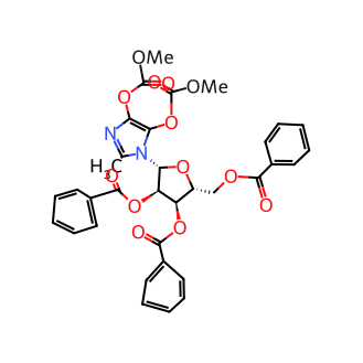 COC(=O)Oc1nc(C)n([C@@H]2O[C@H](COC(=O)c3ccccc3)[C@@H](OC(=O)c3ccccc3)[C@H]2OC(=O)c2ccccc2)c1OC(=O)OC